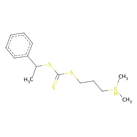 CC(SC(=S)SCCC[SH](C)C)c1ccccc1